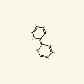 C1=COC(=C2C=CC=CO2)C=C1